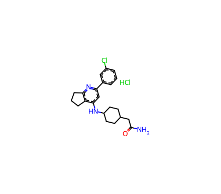 Cl.NC(=O)CC1CCC(Nc2cc(-c3cccc(Cl)c3)nc3c2CCC3)CC1